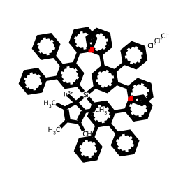 CC1=C(C)[C]([Ti+3])([Si](c2cc(-c3ccccc3)c(-c3ccccc3)c(-c3ccccc3)c2)(c2cc(-c3ccccc3)c(-c3ccccc3)c(-c3ccccc3)c2)c2cc(-c3ccccc3)c(-c3ccccc3)c(-c3ccccc3)c2)C(C)=C1C.[Cl-].[Cl-].[Cl-]